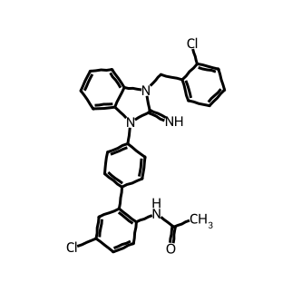 CC(=O)Nc1ccc(Cl)cc1-c1ccc(-n2c(=N)n(Cc3ccccc3Cl)c3ccccc32)cc1